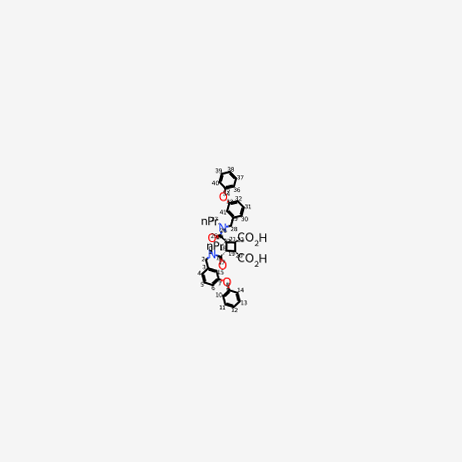 CCCN(Cc1cccc(Oc2ccccc2)c1)C(=O)[C@H]1[C@@H](C(=O)O)[C@H](C(=O)O)[C@@H]1C(=O)N(CCC)Cc1cccc(Oc2ccccc2)c1